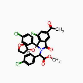 COC(=O)C(c1ccc(Cl)cc1)N1C(=O)c2cc(C(C)=O)cc(F)c2[C@]1(O[C@H]1CCOC1)c1ccc(Cl)cc1